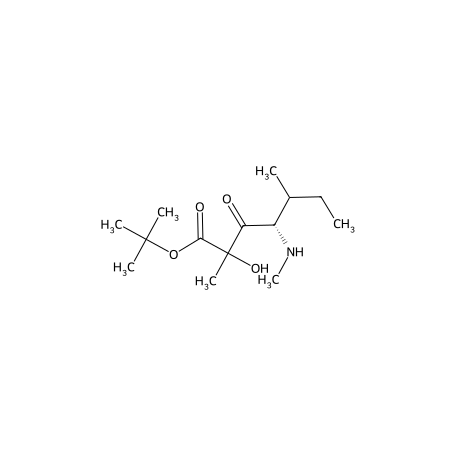 CCC(C)[C@H](NC)C(=O)C(C)(O)C(=O)OC(C)(C)C